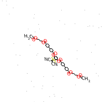 C=CC(=O)OCCCCOC(=O)C1CCC(C2CCC(C(=O)Oc3ccc(OC(=O)C4CCC(C5CCC(C(=O)OCCCCOC(=O)C=C)CC5)CC4)c4c3SC3(S4)C(C#N)C3C#N)CC2)CC1